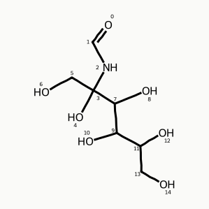 O=CNC(O)(CO)C(O)C(O)C(O)CO